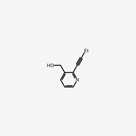 CCC#Cc1ncccc1CO